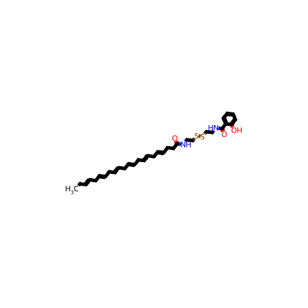 CCC=CCC=CCC=CCC=CCC=CCC=CCCC(=O)NCCSSCCNC(=O)c1ccccc1O